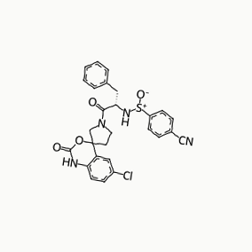 N#Cc1ccc([S+]([O-])N[C@@H](Cc2ccccc2)C(=O)N2CCC3(C2)OC(=O)Nc2ccc(Cl)cc23)cc1